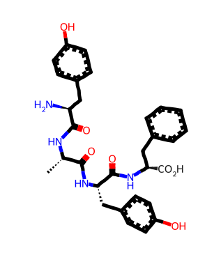 C[C@H](NC(=O)[C@@H](N)Cc1ccc(O)cc1)C(=O)N[C@@H](Cc1ccc(O)cc1)C(=O)N[C@@H](Cc1ccccc1)C(=O)O